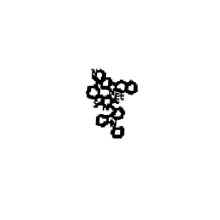 CCC1(C)C(c2cccc3c2c2ccccc2n3-c2ccccc2)=Nc2sc3c(c2[C@H]1N1C2=Cc4ccccc4CC2c2ccccc21)C=C(C1=CN(C)CC=C1)C=CC3